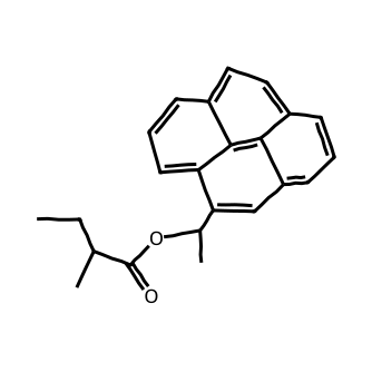 CCC(C)C(=O)OC(C)c1cc2cccc3ccc4cccc1c4c32